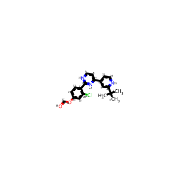 CC(C)(C)c1cc(-c2ccnc(-c3ccc(OC=O)cc3Cl)n2)ccn1